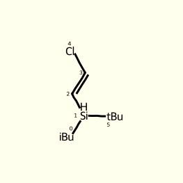 CCC(C)[SiH](C=CCl)C(C)(C)C